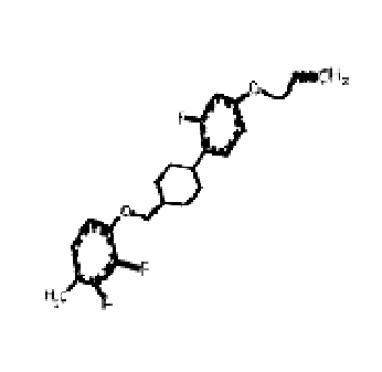 C=CCOc1ccc(C2CCC(COc3ccc(C)c(F)c3F)CC2)c(F)c1